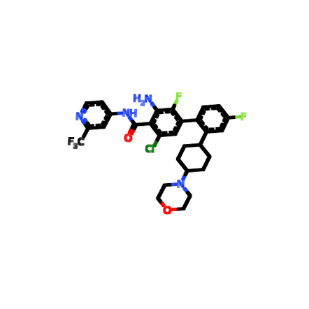 Nc1c(F)c(-c2ccc(F)cc2C2CCC(N3CCOCC3)CC2)cc(Cl)c1C(=O)Nc1ccnc(C(F)(F)F)c1